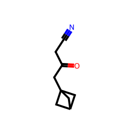 N#CCC(=O)CC12CC(C1)C2